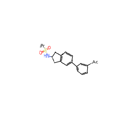 CC(=O)c1cccc(-c2ccc3c(c2)CC(NS(=O)(=O)C(C)C)C3)c1